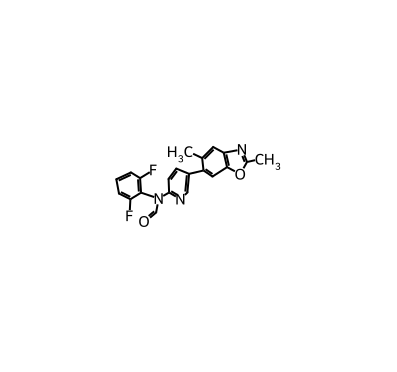 Cc1nc2cc(C)c(-c3ccc(N(C=O)c4c(F)cccc4F)nc3)cc2o1